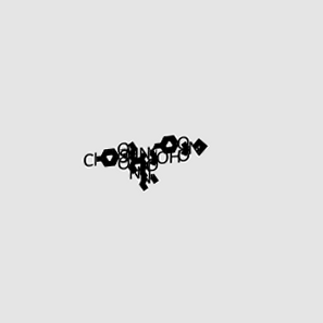 CCN(CC)c1ncc(N(CC)S(=O)(=O)c2ccc(Cl)cc2)c(N[C@@H](Cc2ccc(OC(=O)N3CCC3)cc2)C(=O)O)n1